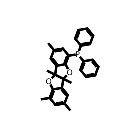 Cc1cc(C)c2c(c1)C1(C)Oc3c(P(c4ccccc4)c4ccccc4)cc(C)cc3C1(C)O2